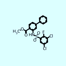 COC(=O)c1ccc(-c2ccccc2)cc1NS(=O)(=O)c1cc(Cl)cc(Cl)c1F